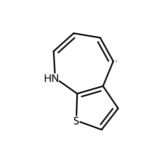 [C]1=CC=CNc2sccc21